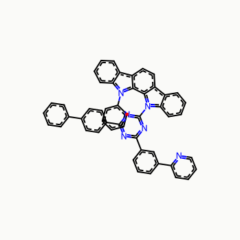 c1ccc(-c2ccc(-c3nc(-c4cccc(-c5ccccn5)c4)nc(-n4c5ccccc5c5ccc6c7ccccc7n(-c7ccccc7)c6c54)n3)cc2)cc1